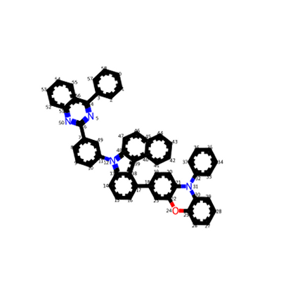 c1ccc(-c2nc(-c3cccc(-n4c5cccc(-c6ccc7c(c6)Oc6ccccc6N7c6ccccc6)c5c5c6ccccc6ccc54)c3)nc3ccccc23)cc1